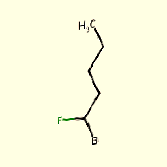 [B]C(F)CCCC